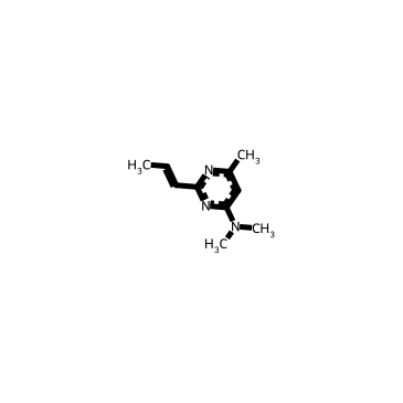 C/C=C/c1nc(C)cc(N(C)C)n1